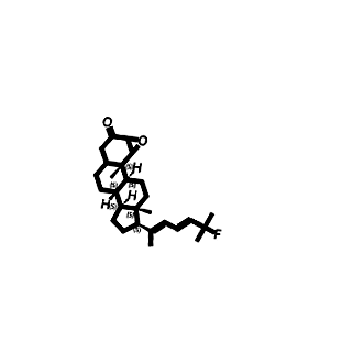 CC(=CC=CC(C)(C)F)[C@H]1CC[C@H]2[C@@H]3CCC4CC(=O)C5OC5[C@]4(C)[C@H]3CC[C@]12C